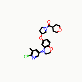 Cc1cc(N2CCOc3ccc(O[C@H]4CCN(C(=O)C5CCOCC5)C4)cc32)cnc1Cl